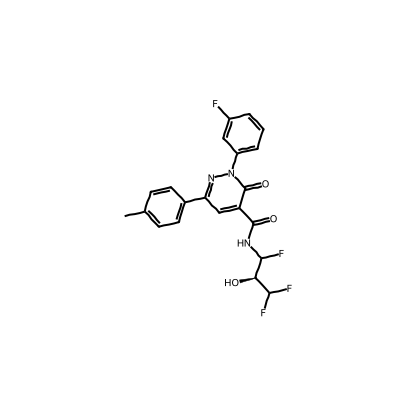 Cc1ccc(-c2cc(C(=O)NC(F)[C@H](O)C(F)F)c(=O)n(-c3cccc(F)c3)n2)cc1